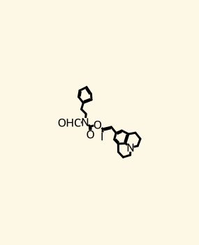 O=CN(CCc1ccccc1)C(=O)O/C(I)=C/c1cc2c3c(c1)CCCN3CCC2